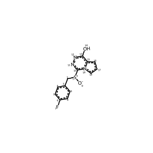 [O-][S+](Cc1ccc(F)cc1)c1nnc(O)c2cccn12